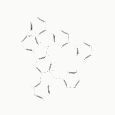 c1ccc(-c2ccc(-c3ccccc3)c(-n3c4ccccc4c4cc5c6ccccc6n(-c6ccccc6)c5cc43)c2)cc1